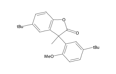 COc1ccc(C(C)(C)C)cc1C1(C)C(=O)Oc2ccc(C(C)(C)C)cc21